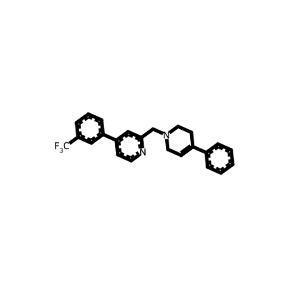 FC(F)(F)c1cccc(-c2ccnc(CN3CC=C(c4ccccc4)CC3)c2)c1